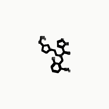 COC1CCN(CCN(Cc2c(N)cccc2Cl)C(=O)c2ccn[nH]2)C1